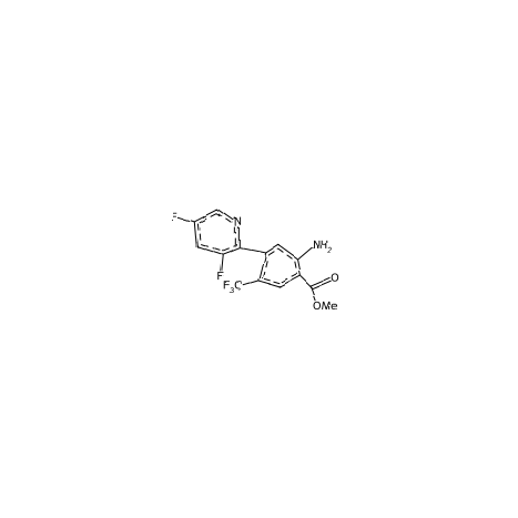 COC(=O)c1cc(C(F)(F)F)c(-c2ncc(F)cc2F)cc1N